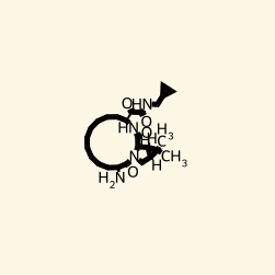 CC1(C)[C@@H]2[C@H]3C(=O)N[C@H](C(=O)C(=O)NCC4CC4)CCCCCCCCC[C@H](N)C(=O)N3C[C@@H]21